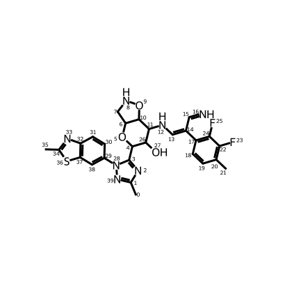 Cc1nc(C2OC3CNOC3C(N/C=C(\C=N)c3ccc(C)c(F)c3F)C2O)n(-c2ccc3nc(C)sc3c2)n1